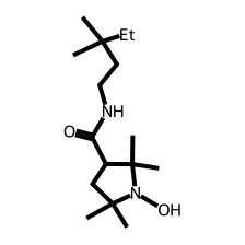 CCC(C)(C)CCNC(=O)C1CC(C)(C)N(O)C1(C)C